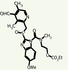 CCOC(=O)OCCN(C)C(=O)n1c([S+]([O-])Cc2ncc(C)c(C=O)c2C)nc2cc(OC)ccc21